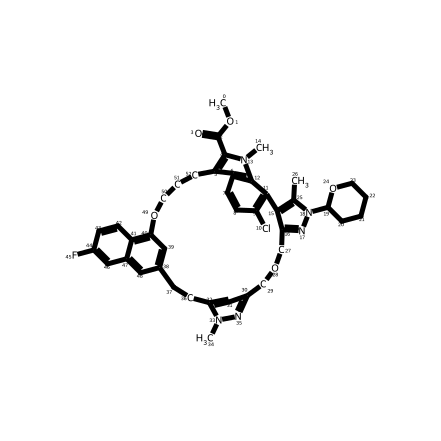 COC(=O)c1c2c3ccc(Cl)c(c3n1C)-c1c(nn(C3CCCCO3)c1C)COCc1cc(n(C)n1)CCc1cc(c3ccc(F)cc3c1)OCCC2